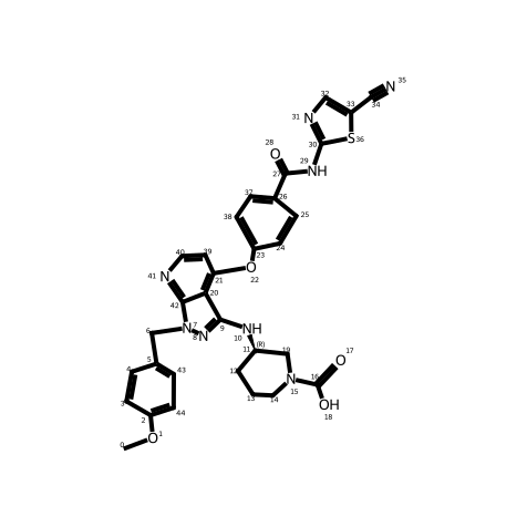 COc1ccc(Cn2nc(N[C@@H]3CCCN(C(=O)O)C3)c3c(Oc4ccc(C(=O)Nc5ncc(C#N)s5)cc4)ccnc32)cc1